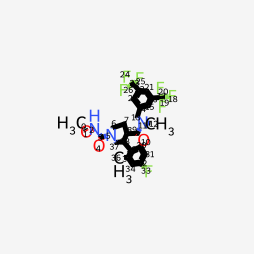 CONC(=O)N1CCC(C(=O)N(C)Cc2cc(C(F)(F)F)cc(C(F)(F)F)c2)C(c2ccc(F)cc2C)C1